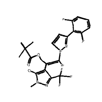 Cn1nc(C(F)(F)F)c(C(OC(=O)C(C)(C)C)=C(Br)n2ccc(-c3c(F)cccc3F)n2)c1Cl